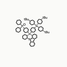 CC(C)(C)c1ccc([Si](c2ccc(C(C)(C)C)cc2)(c2ccc(C(C)(C)C)cc2)c2ccc(C3(c4ccc(P(=O)(c5ccccc5)c5ccccc5)cc4)c4ccccc4-n4c5ccccc5c5cccc3c54)cc2)cc1